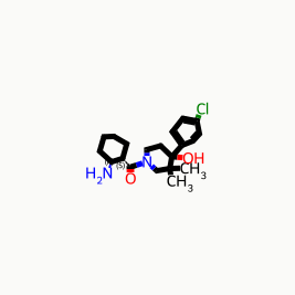 CC1(C)CN(C(=O)[C@H]2CCCC[C@H]2N)CCC1(O)c1ccc(Cl)cc1